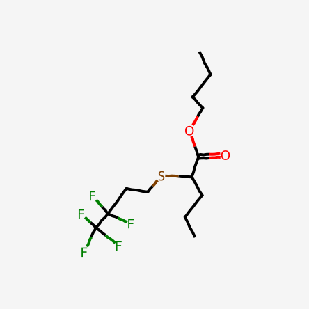 CCCCOC(=O)C(CCC)SCCC(F)(F)C(F)(F)F